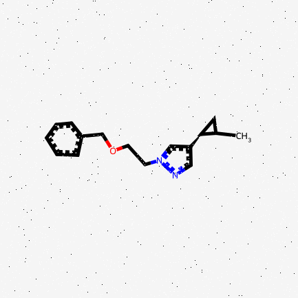 CC1C[C@@H]1c1cnn(CCOCc2ccccc2)c1